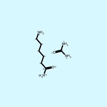 NC(N)=O.NCCCCCC(N)=O